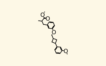 COC(=O)C(C)Cc1cccc(OCC2CC(c3cccc(OC)c3)C2)c1